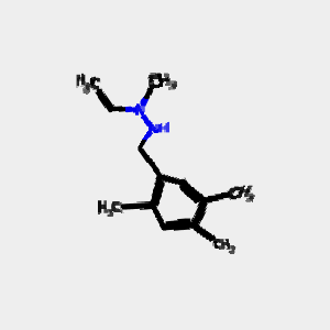 CCN(C)NCc1cc(C)c(C)cc1C